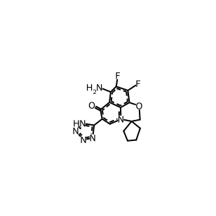 Nc1c(F)c(F)c2c3c1c(=O)c(-c1nnn[nH]1)cn3C1(CCCC1)CO2